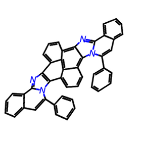 c1ccc(-c2cc3ccccc3c3nc4c5cccc6c7nc8c9ccccc9cc(-c9ccccc9)n8c7c7cccc(c7c56)c4n23)cc1